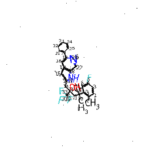 Cc1ccc(F)cc1C(C)(C)CC(O)(Cc1cc2cc(-c3ccccc3)ncc2[nH]1)C(F)(F)F